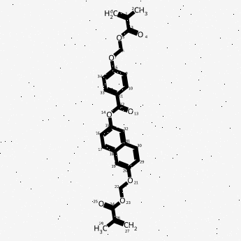 C=C(C)C(=O)OCOc1ccc(C(=O)Oc2ccc3cc(OCOC(=O)C(=C)C)ccc3c2)cc1